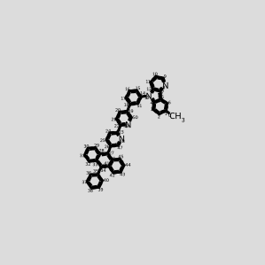 Cc1ccc2c(c1)c1ncccc1n2-c1cccc(-c2ccc(-c3ccc(-c4c5ccccc5c(-c5ccccc5)c5ccccc45)cn3)nc2)c1